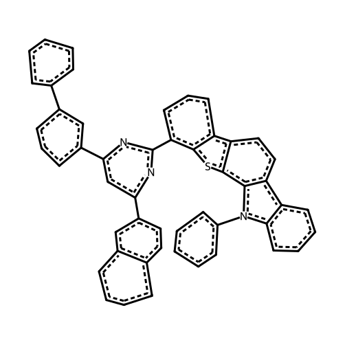 c1ccc(-c2cccc(-c3cc(-c4ccc5ccccc5c4)nc(-c4cccc5c4sc4c5ccc5c6ccccc6n(-c6ccccc6)c54)n3)c2)cc1